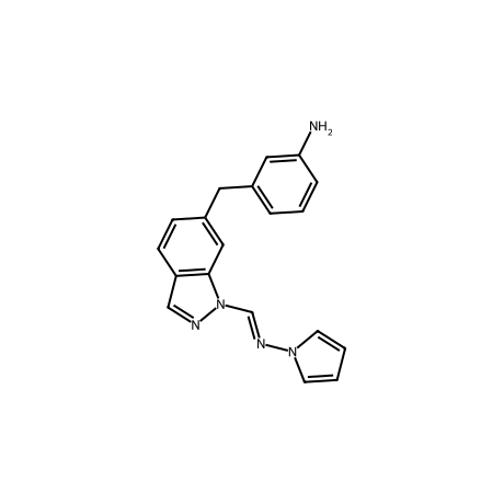 Nc1cccc(Cc2ccc3cnn(C=Nn4cccc4)c3c2)c1